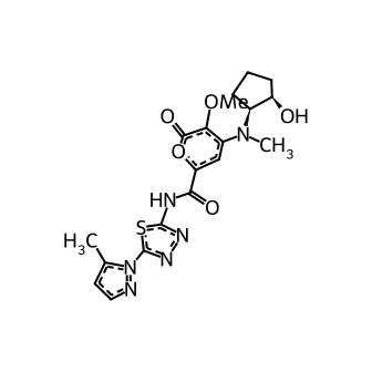 COc1c(N(C)[C@H]2CCC[C@H]2O)cc(C(=O)Nc2nnc(-n3nccc3C)s2)oc1=O